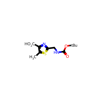 Cc1sc(CNC(=O)OC(C)(C)C)nc1C(=O)O